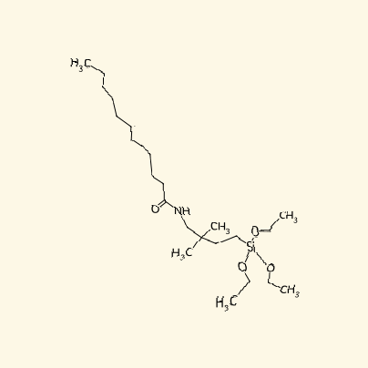 CCCCC[CH]CCCCC(=O)NCC(C)(C)CC[Si](OCC)(OCC)OCC